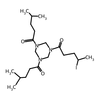 CC(C)CCC(=O)N1CN(C(=O)CCC(C)C)CN(C(=O)CCC(C)I)C1